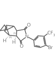 O=C1C2C3C=C[C@H]([C@@H]2C(=O)N1c1ccc(Br)c(C(F)(F)F)c1)C31CC1